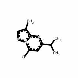 Bc1cnn2c(Cl)cc(C(C)C)nc12